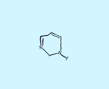 FN1[CH]N=C[C]=C1